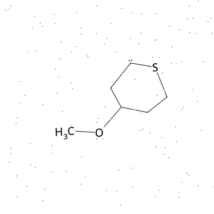 COC1C[C]SCC1